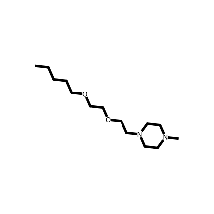 CCCCCOCCOCCN1CCN(C)CC1